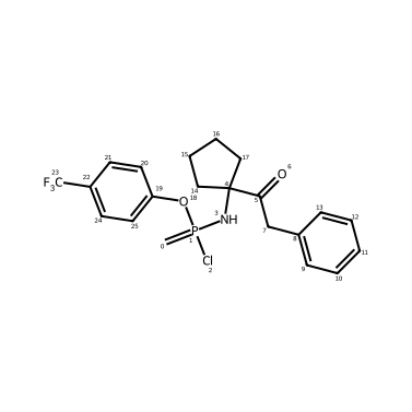 C=P(Cl)(NC1(C(=O)Cc2ccccc2)CCCC1)Oc1ccc(C(F)(F)F)cc1